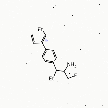 C=C/C(=C\CC)c1ccc(C(CC)C(N)CF)cc1